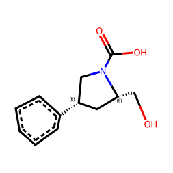 O=C(O)N1C[C@@H](c2ccccc2)C[C@H]1CO